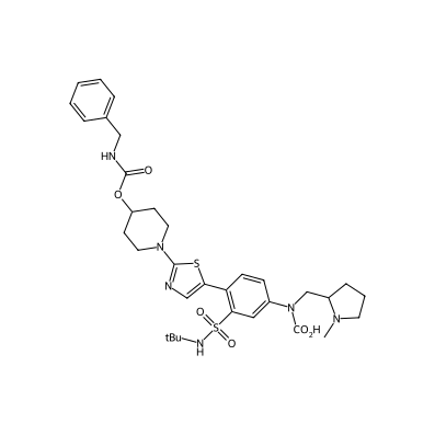 CN1CCCC1CN(C(=O)O)c1ccc(-c2cnc(N3CCC(OC(=O)NCc4ccccc4)CC3)s2)c(S(=O)(=O)NC(C)(C)C)c1